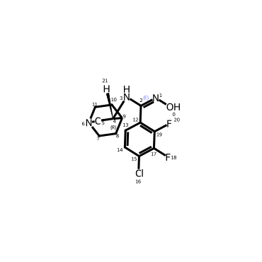 O/N=C(/N[C@H]1CN2CCC1CC2)c1ccc(Cl)c(F)c1F